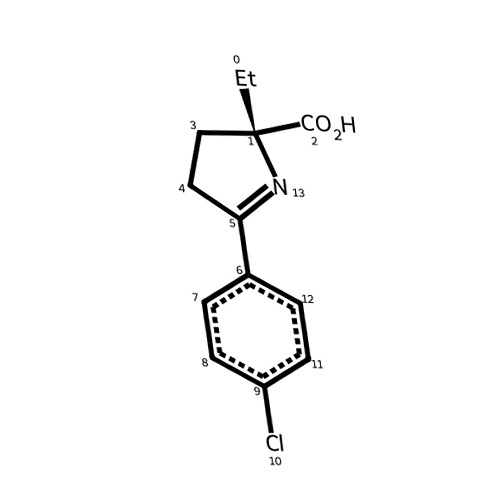 CC[C@]1(C(=O)O)CCC(c2ccc(Cl)cc2)=N1